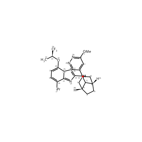 COc1cc(N2C[C@H]3CC[C@@H](C2)C3Nc2nc3c(C(C)C)ccc(O[C@@H](C)C(F)(F)F)n3n2)cnn1